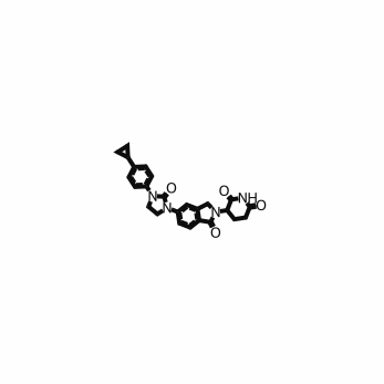 O=C1CCC(N2Cc3cc(N4CCN(c5ccc(C6CC6)cc5)C4=O)ccc3C2=O)C(=O)N1